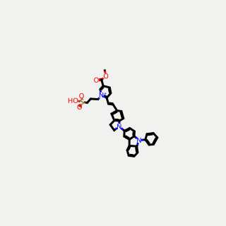 COC(=O)c1ccc(/C=C/c2ccc3c(c2)CCN3c2ccc3c(c2)c2ccccc2n3-c2ccccc2)[n+](CCCS(=O)(=O)O)c1